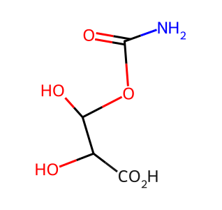 NC(=O)OC(O)C(O)C(=O)O